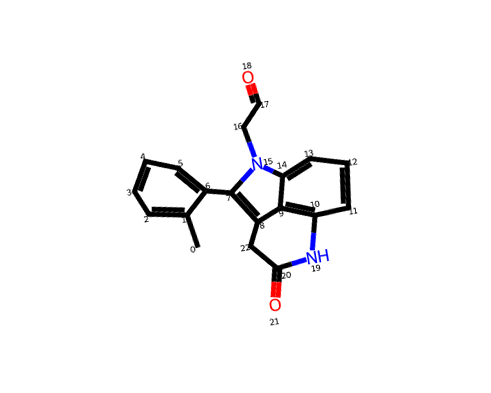 Cc1ccccc1-c1c2c3c(cccc3n1CC=O)NC(=O)C2